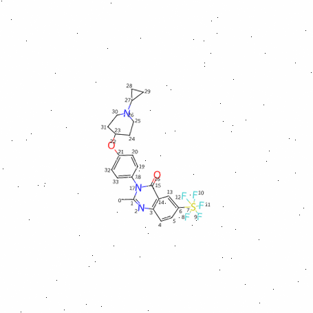 Cc1nc2ccc(S(F)(F)(F)(F)F)cc2c(=O)n1-c1ccc(OC2CCN(C3CC3)CC2)cc1